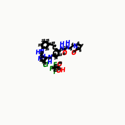 O=C(NCCN1CCCC1=O)Nc1ccc2cc1CCc1cccc(c1)Nc1ncc(Cl)c(n1)N2.O=C(O)C(F)(F)F